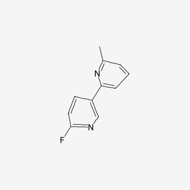 Cc1cccc(-c2ccc(F)nc2)n1